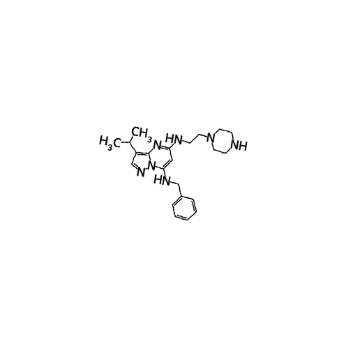 CC(C)c1cnn2c(NCc3ccccc3)cc(NCCN3CCNCC3)nc12